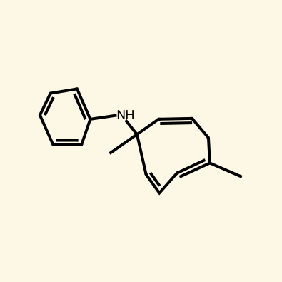 C/C1=C\C=C/C(C)(Nc2ccccc2)/C=C\C1